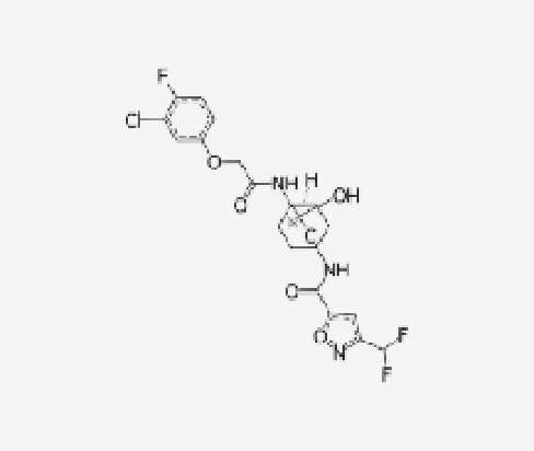 O=C(COc1ccc(F)c(Cl)c1)NC12CCC(NC(=O)c3cc(C(F)F)no3)(CC1)C[C@@H]2O